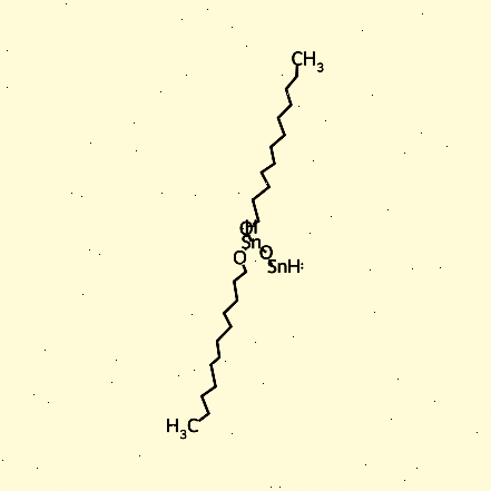 CCCCCCCCCCCC[O][SnH]([O][SnH])[O]CCCCCCCCCCCC